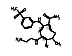 CC/C1=C(NCCN)/N=C(Nc2cccc(S(C)(=O)=O)c2)\C(C(N)=O)=C\CC1C